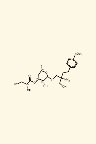 CCCCCCCCc1ccc(CCC(N)(CO)COC2O[C@@H](C)C[C@H](OC(=O)[C@H](O)CC(C)C)[C@H]2O)cc1